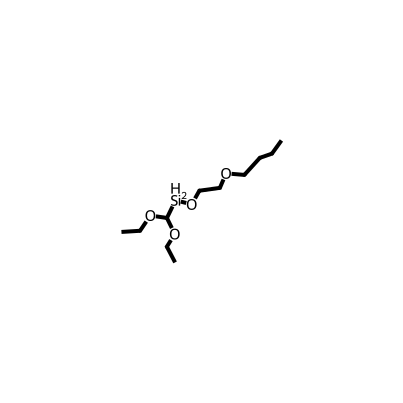 CCCCOCCO[SiH2]C(OCC)OCC